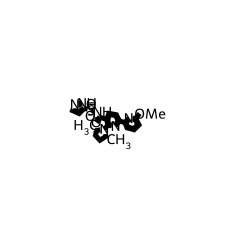 COc1cccc(-c2ccc(C(=O)NS(=O)(=O)c3ccn[nH]3)c(N3[C@H](C)CC[C@@H]3C)n2)n1